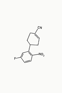 N#CC1=CCC(c2cc(F)ccc2[N+](=O)[O-])CC1